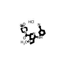 Cl.Cn1ccc2c(Nc3cccc(C#N)c3)ncc(C(=O)N3CCS(=O)(=O)CC3)c21